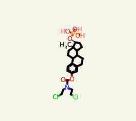 C[C@]12CCC3c4ccc(OC(=O)N(CCCl)CCCl)cc4CCC3C1CC[C@@H]2O[PH](O)(O)O